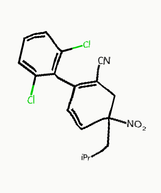 CC(C)CC1([N+](=O)[O-])C=CC(c2c(Cl)cccc2Cl)=C(C#N)C1